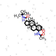 CC(=O)NC1=C2CC[C@H]3[C@@H]4CC[C@H](C(=O)NC(C)(C)C)[C@@]4(C)CC[C@@H]3[C@@]2(C)CCC1=O